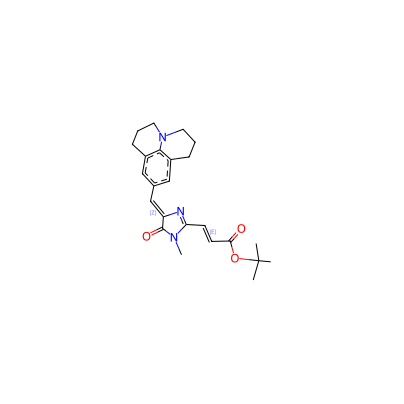 CN1C(=O)/C(=C/c2cc3c4c(c2)CCCN4CCC3)N=C1/C=C/C(=O)OC(C)(C)C